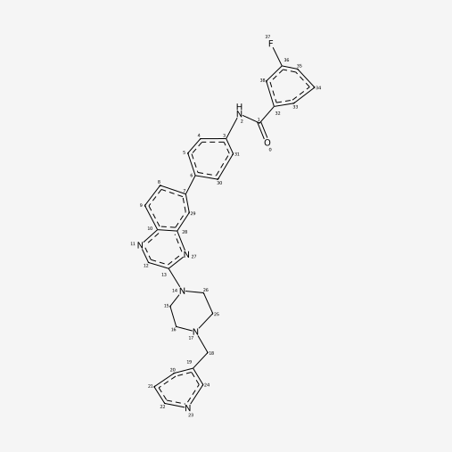 O=C(Nc1ccc(-c2ccc3ncc(N4CCN(Cc5cccnc5)CC4)nc3c2)cc1)c1cccc(F)c1